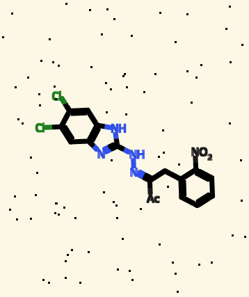 CC(=O)/C(Cc1ccccc1[N+](=O)[O-])=N/Nc1nc2cc(Cl)c(Cl)cc2[nH]1